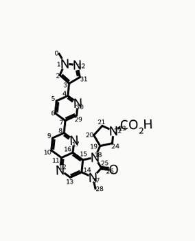 Cn1cc(-c2ccc(-c3ccc4ncc5c(c4n3)n(C3CCN(C(=O)O)C3)c(=O)n5C)cn2)cn1